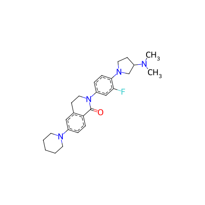 CN(C)C1CCN(c2ccc(N3CCc4cc(N5CCCCC5)ccc4C3=O)cc2F)C1